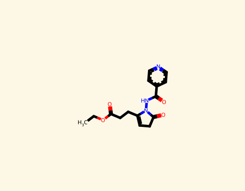 CCOC(=O)CCC1=CCC(=O)N1NC(=O)c1ccncc1